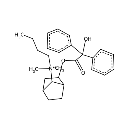 CCCC[N+](C)(C)C1C2CCC1C(OC(=O)C(O)(c1ccccc1)c1ccccc1)C2